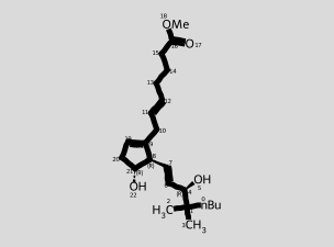 CCCCC(C)(C)[C@H](O)C=C[C@@H]1C(CC=CCCCC(=O)OC)=CC[C@H]1O